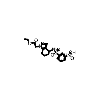 CCOC(=O)Cn1ncc2c1CCCC2NS(=O)(=O)c1cccc([NH+]([O-])O)c1